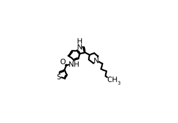 CCCCCN1CCC(c2c[nH]c3ccc(NC(=O)c4ccsc4)cc23)CC1